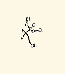 CCOP(=O)(OCC)C(F)(F)CCO